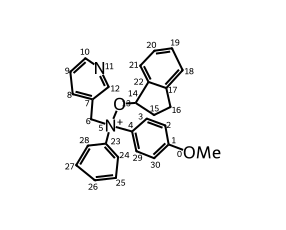 COc1ccc([N+](Cc2cccnc2)(OC2CCc3ccccc32)c2ccccc2)cc1